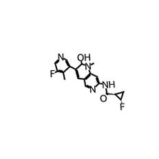 Cc1c(F)cncc1C1=Cc2cnc(NC(=O)[C@H]3C[C@@H]3F)cc2N(C)C1O